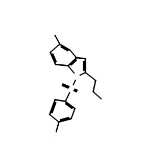 CCCCCc1ccc(S(=O)(=O)n2c(CCC(=O)O)cc3cc(Cl)ccc32)cc1